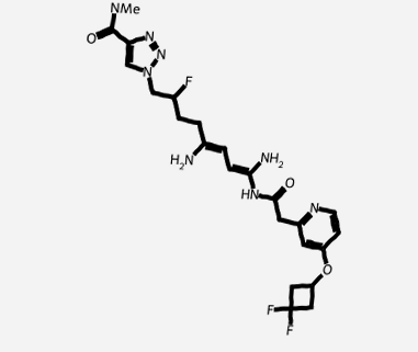 CNC(=O)c1cn(CC(F)CC/C(N)=C/C=C(\N)NC(=O)Cc2cc(OC3CC(F)(F)C3)ccn2)nn1